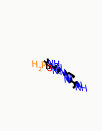 BC(C)(P)C(C)NC(=O)c1cnc(N2CC(CC#C)(n3cc(-c4cn[nH]c4C)cn3)C2)cn1